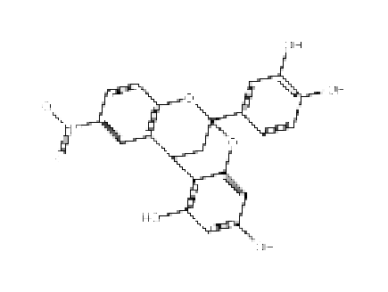 O=[N+]([O-])c1ccc2c(c1)C1CC(c3ccc(O)c(O)c3)(O2)Oc2cc(O)cc(O)c21